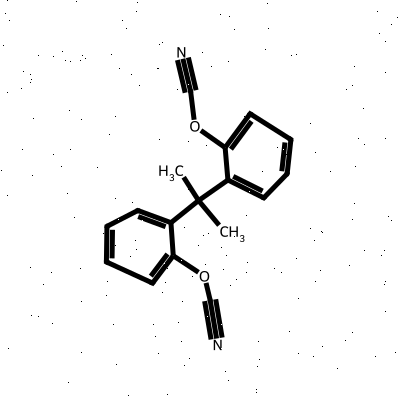 CC(C)(c1ccccc1OC#N)c1ccccc1OC#N